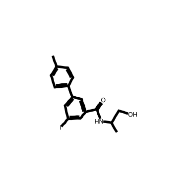 Cc1ccc(-c2cc(I)cc(C(=O)NC(C)CO)c2)cc1